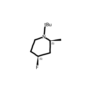 C[C@H]1C[C@@H](F)CCN1C(C)(C)C